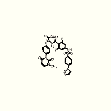 COC(=O)[C@H](Cc1ccc(-n2c(=O)ccn(C)c2=O)cc1)NC(=O)c1c(F)cc(NS(=O)(=O)c2ccc(-n3ccnn3)cc2)cc1F